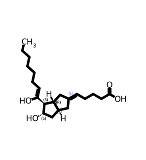 CCCCCCC=C(O)[C@H]1[C@@H]2C/C(=C/CCCC(=O)O)C[C@H]2C[C@@H]1O